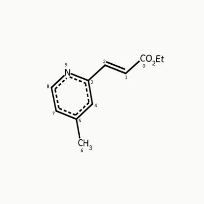 CCOC(=O)C=Cc1cc(C)ccn1